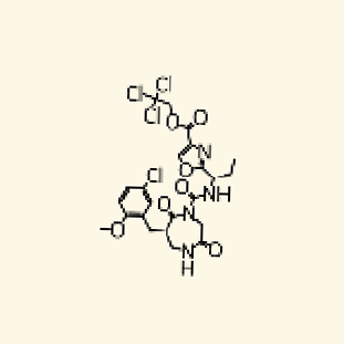 CC[C@@H](NC(=O)N1CC(=O)NC[C@@H](Cc2cc(Cl)ccc2OC)C1=O)c1nc(C(=O)OCC(Cl)(Cl)Cl)co1